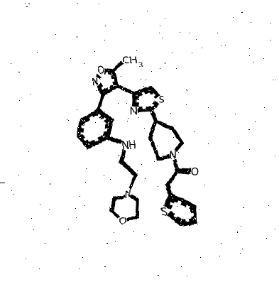 Cc1onc(-c2cccc(NCCN3CCOCC3)c2)c1-c1csc(C2CCN(C(=O)Cc3cccs3)CC2)n1